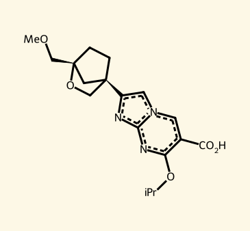 COC[C@]12CC[C@](c3cn4cc(C(=O)O)c(OC(C)C)nc4n3)(CO1)C2